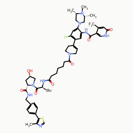 Cc1ncsc1-c1ccc(CNC(=O)[C@@H]2C[C@@H](O)CN2C(=O)[C@@H](NC(=O)CCCCCC(=O)N2CC=C(c3cc(NC(=O)c4c[nH]c(=O)cc4C(F)(F)F)c(N4C[C@@H](C)N(C)[C@@H](C)C4)cc3F)CC2)C(C)(C)C)cc1